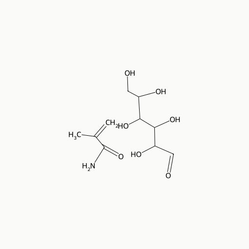 C=C(C)C(N)=O.O=CC(O)C(O)C(O)C(O)CO